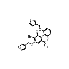 Cc1cc(OCc2ccoc2)c(Br)c(=O)n1-c1c(F)cccc1OCc1ccoc1